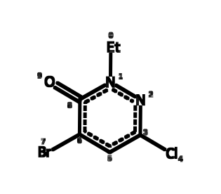 CCn1nc(Cl)cc(Br)c1=O